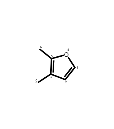 [CH2]c1ccoc1C